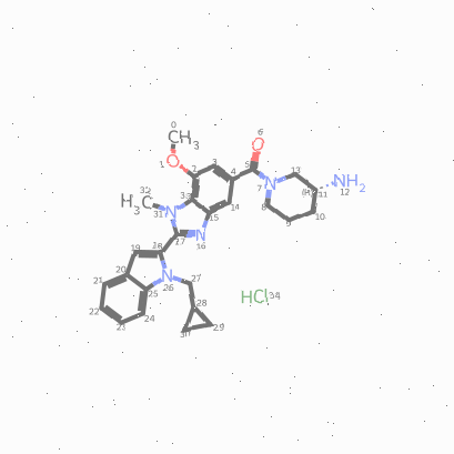 COc1cc(C(=O)N2CCC[C@@H](N)C2)cc2nc(-c3cc4ccccc4n3CC3CC3)n(C)c12.Cl